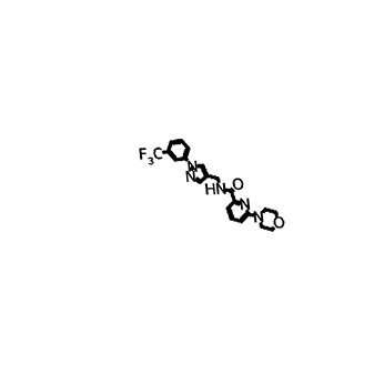 O=C(NCc1cnn(-c2cccc(C(F)(F)F)c2)c1)c1cccc(N2CCOCC2)n1